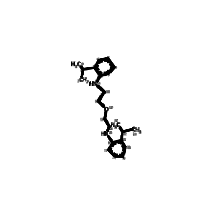 CC(C)c1ccccc1NCCOCCNc1ccccc1C(C)C